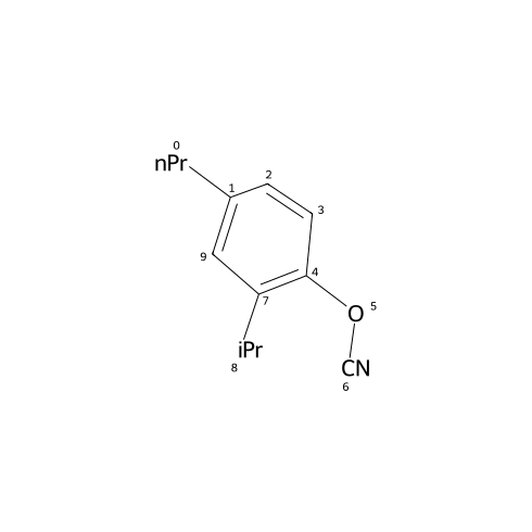 CCCc1ccc(OC#N)c(C(C)C)c1